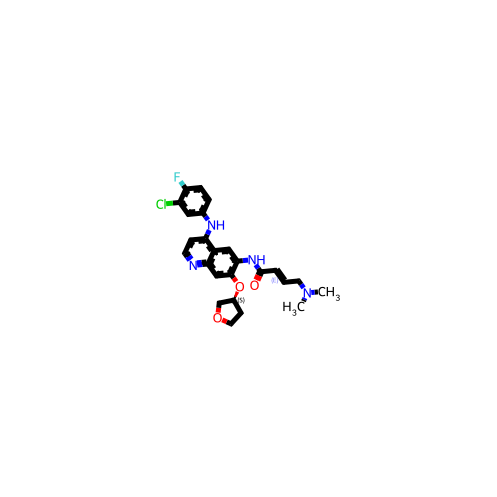 CN(C)C/C=C/C(=O)Nc1cc2c(Nc3ccc(F)c(Cl)c3)ccnc2cc1O[C@H]1CCOC1